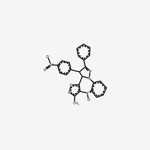 Cc1noc(C2C(c3ccc([N+](=O)[O-])cc3)C(c3ccccc3)=NN2c2ccccc2)c1[N+](=O)[O-]